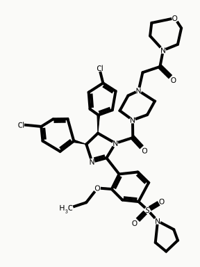 CCOc1cc(S(=O)(=O)N2CCCC2)ccc1C1=N[C@@H](c2ccc(Cl)cc2)[C@@H](c2ccc(Cl)cc2)N1C(=O)N1CCN(CC(=O)N2CCOCC2)CC1